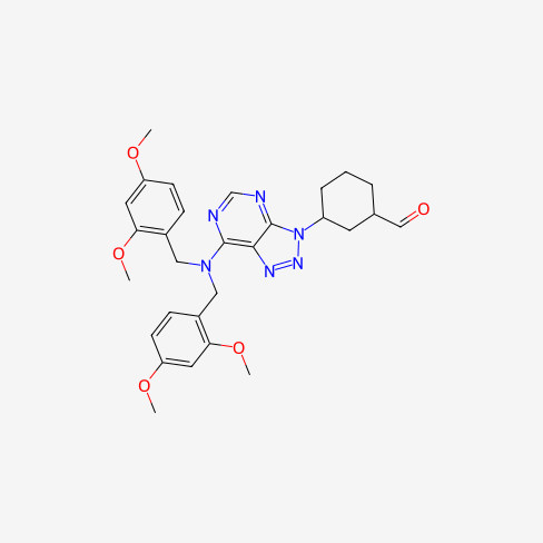 COc1ccc(CN(Cc2ccc(OC)cc2OC)c2ncnc3c2nnn3C2CCCC(C=O)C2)c(OC)c1